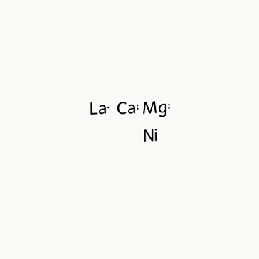 [Ca].[La].[Mg].[Ni]